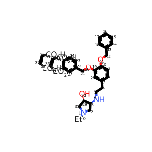 CCN1C[C@H](NCCc2ccc(OCc3ccccc3)c(OCc3ccccc3)c2)[C@@H](O)C1.O=C(O)/C=C\C(=O)O.O=C(O)/C=C\C(=O)O